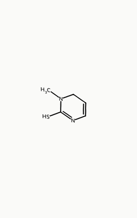 CN1CC=CN=C1S